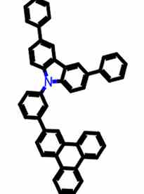 c1ccc(-c2ccc3c(c2)c2cc(-c4ccccc4)ccc2n3-c2cccc(-c3ccc4c5ccccc5c5ccccc5c4c3)c2)cc1